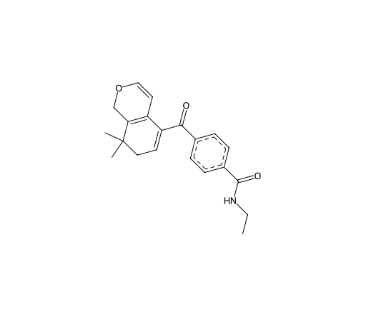 CCNC(=O)c1ccc(C(=O)C2=CCC(C)(C)C3=C2C=COC3)cc1